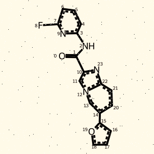 O=C(Nc1cccc(F)n1)c1cn2cc(-c3ccco3)ccc2n1